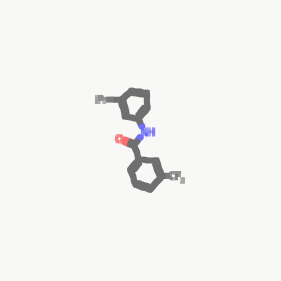 CC(C)c1cccc(NC(=O)c2cccc(C(F)(F)F)c2)c1